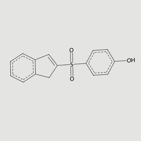 O=S(=O)(C1=Cc2ccccc2C1)c1ccc(O)cc1